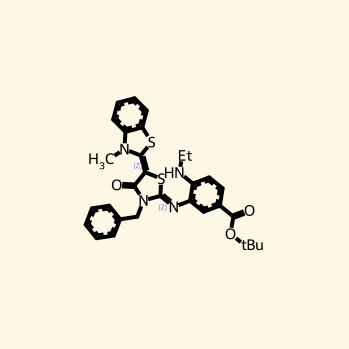 CCNc1ccc(C(=O)OC(C)(C)C)cc1/N=C1\S/C(=C2\Sc3ccccc3N2C)C(=O)N1Cc1ccccc1